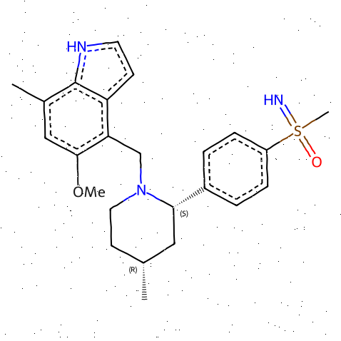 COc1cc(C)c2[nH]ccc2c1CN1CC[C@@H](C)C[C@H]1c1ccc(S(C)(=N)=O)cc1